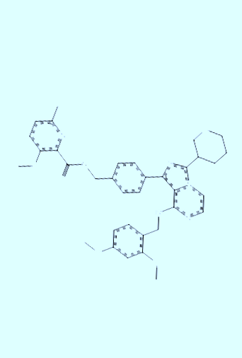 COc1ccc(CNc2nccn3c(C4CCCOC4)nc(-c4ccc(CNC(=O)c5nc(C)ccc5OC)cc4)c23)c(OC)c1